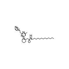 CCCCCCCCCCCCCNC(=O)CC1CCCCN1c1cc(C)nc(CCn2ccnc2)n1